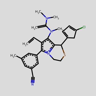 C=Cc1c(N(C)C(=C)N(C)C)c2n(c1-c1cc(C)cc(C#N)c1)CCSC2C1=CC=C(Cl)C1